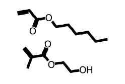 C=C(C)C(=O)OCCO.C=CC(=O)OCCCCCC